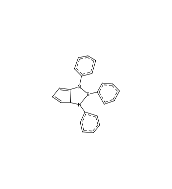 C1=CC2C(=C1)N(c1ccccc1)B(c1ccccc1)N2c1ccccc1